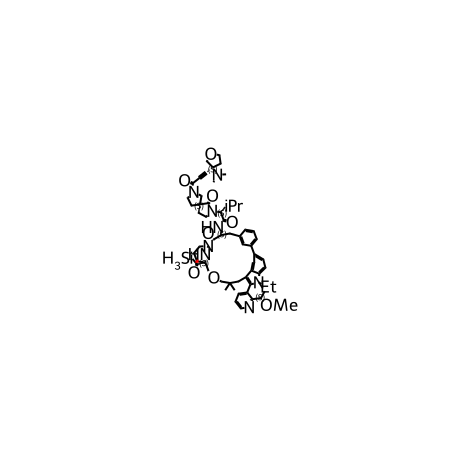 CCn1c(-c2cccnc2[C@H](C)OC)c2c3cc(ccc31)-c1cccc(c1)C[C@H](NC(=O)[C@H](C(C)C)N1CC[C@]3(CCN(C(=O)C#C[C@@]4(N(C)C)CCOC4)C3)C1=O)C(=O)N1CCC[C@@](C(=O)[SiH3])(COCC(C)(C)C2)N1